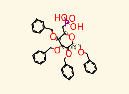 O=P(O)(O)C[C@H]1O[C@H](COCc2ccccc2)[C@@H](OCc2ccccc2)[C@@H](OCc2ccccc2)[C@H]1OCc1ccccc1